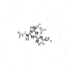 CC(Nc1nc(NCC2CC2)nc(-c2nccc(C(F)(F)F)n2)n1)C1CC1